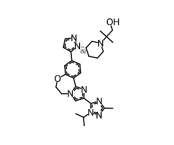 Cc1nc(-c2cn3c(n2)-c2ccc(-c4ccnn4[C@H]4CCCN(C(C)(C)CO)C4)cc2OCC3)n(C(C)C)n1